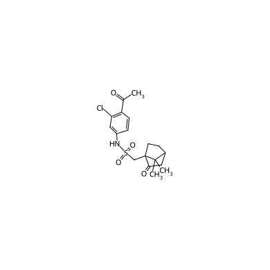 CC(=O)c1ccc(NS(=O)(=O)CC23CCC(CC2=O)C3(C)C)cc1Cl